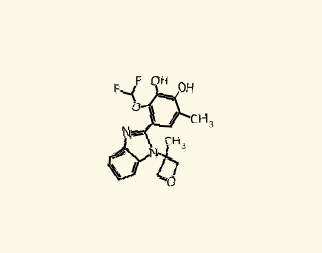 Cc1cc(-c2nc3ccccc3n2C2(C)COC2)c(OC(F)F)c(O)c1O